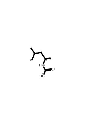 CC(C)CC(C)NC(=O)O